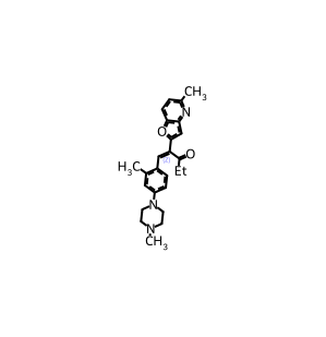 CCC(=O)/C(=C\c1ccc(N2CCN(C)CC2)cc1C)c1cc2nc(C)ccc2o1